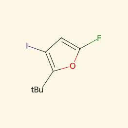 CC(C)(C)c1oc(F)cc1I